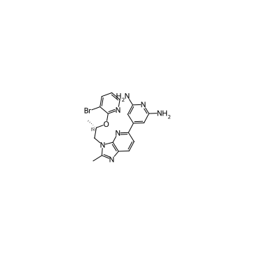 Cc1nc2ccc(-c3cc(N)nc(N)c3)nc2n1C[C@H](C)Oc1ncccc1Br